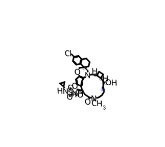 CN1CC/C=C/[C@H](O)[C@@H]2CC[C@H]2CN2C[C@@]3(CCCc4cc(Cl)ccc43)COc3ccc(cc32)[C@@](O)(C(=O)NS(=O)(=O)NC2CC2)CC1=O